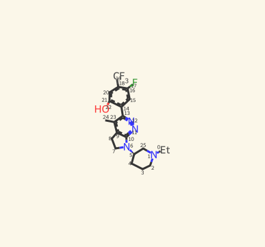 CCN1CCC[C@@H](N2CCc3c2nnc(-c2cc(F)c(C(F)(F)F)cc2O)c3C)C1